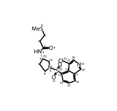 CSCCC(=O)N[C@H]1CCN(S(=O)(=O)c2cccc3cncc(Cl)c23)C1